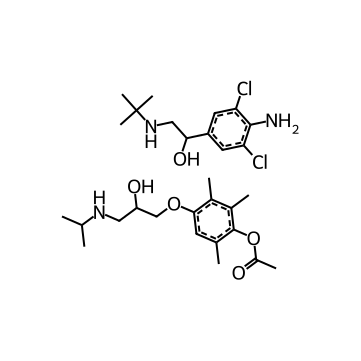 CC(=O)Oc1c(C)cc(OCC(O)CNC(C)C)c(C)c1C.CC(C)(C)NCC(O)c1cc(Cl)c(N)c(Cl)c1